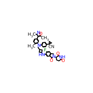 Cc1ccc(-c2c(C)noc2C)cc1N(CC1CC(Nc2cc3c(cc2F)CN(C2CCC(=O)NC2=O)C3=O)C1)c1ccc(C2(C#N)CC2)cc1